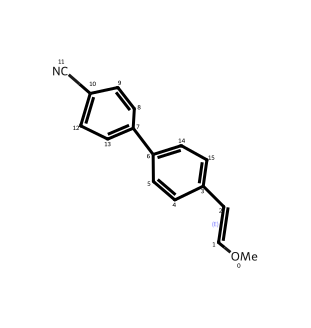 CO/C=C/c1ccc(-c2ccc(C#N)cc2)cc1